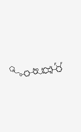 Fc1cccc(-c2nc3cnn(Cc4cc(-c5ccc(OCCN6CCCC6)cc5)no4)cc-3n2)c1F